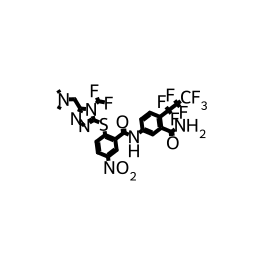 CN(C)Cc1nnc(Sc2ccc([N+](=O)[O-])cc2C(=O)Nc2ccc(C(F)(F)C(F)(F)C(F)(F)F)c(C(N)=O)c2)n1C(F)F